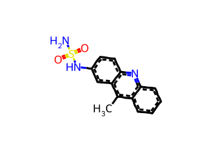 Cc1c2ccccc2nc2ccc(NS(N)(=O)=O)cc12